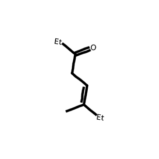 CCC(=O)CC=C(C)CC